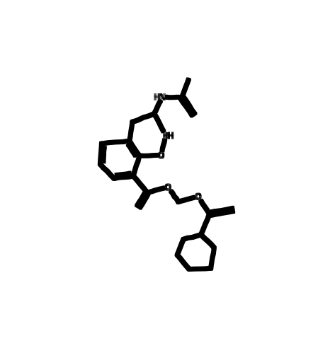 C=C(C)NC1BOc2c(cccc2C(=C)OCOC(=C)C2CCCCC2)C1